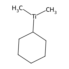 [CH3][Ti]([CH3])[CH]1CCCCC1